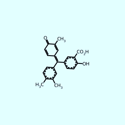 CC1=C/C(=C(/c2ccc(C)c(C)c2)c2ccc(O)c(C(=O)O)c2)C=CC1=O